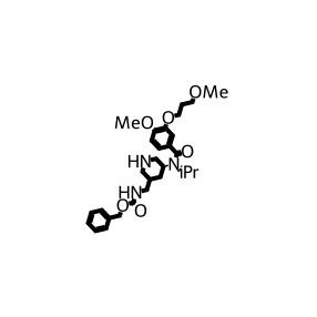 COCCCOc1cc(C(=O)N(C(C)C)[C@H]2CNCC(CNC(=O)OCc3ccccc3)C2)ccc1OC